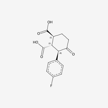 O=C(O)[C@@H]1[C@@H](C(=O)O)CCC(=O)[C@H]1c1ccc(F)cc1